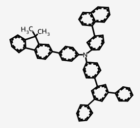 CC1(C)c2ccccc2-c2ccc(-c3ccc(N(c4ccc(-c5cc(-c6ccccc6)cc(-c6ccccc6)c5)cc4)c4cccc(-c5cccc6ccccc56)c4)cc3)cc21